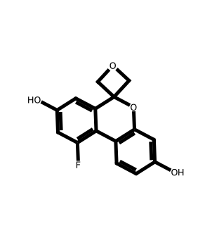 Oc1ccc2c(c1)OC1(COC1)c1cc(O)cc(F)c1-2